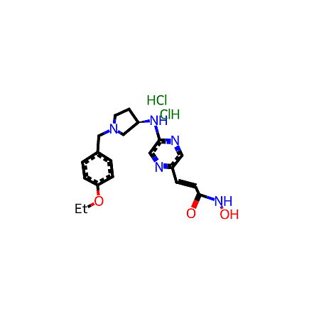 CCOc1ccc(CN2CC[C@@H](Nc3cnc(/C=C/C(=O)NO)cn3)C2)cc1.Cl.Cl